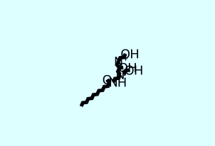 CCCCCCCCCCCC(=O)NCCN(CCO)CC(O)C[N+](C)(C)CCO